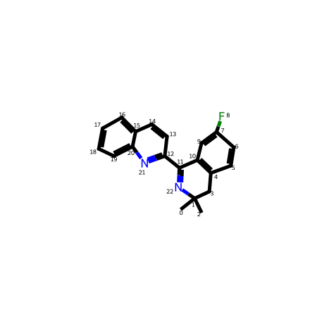 CC1(C)Cc2ccc(F)cc2C(c2ccc3ccccc3n2)=N1